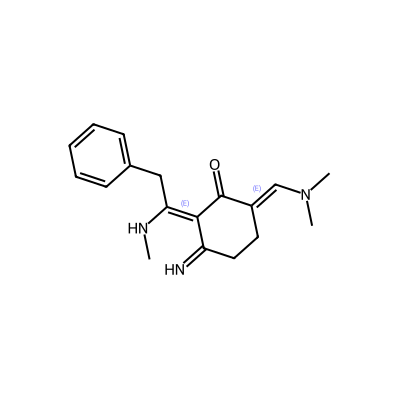 CN/C(Cc1ccccc1)=C1\C(=N)CC/C(=C\N(C)C)C1=O